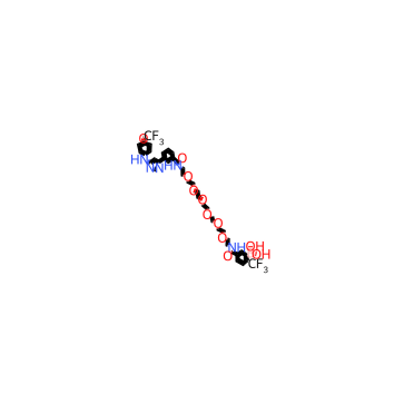 O=C(NCCOCCOCCOCCOCCOCCOCCNC(=O)c1ccc(C(F)(F)F)c(B(O)O)c1)c1cccc(-c2cc(Nc3ccc(OC(F)(F)F)cc3)ncn2)c1